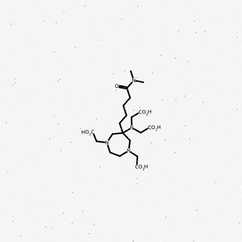 CN(C)C(=O)CCCCC1(N(CC(=O)O)CC(=O)O)CN(CC(=O)O)CCN(CC(=O)O)C1